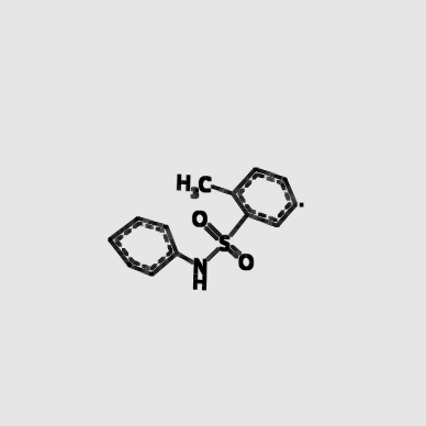 Cc1cc[c]cc1S(=O)(=O)Nc1ccccc1